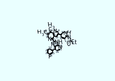 CCC(=O)Nc1ccc(-c2cnc3c(c2)C(c2nc4c(-c5cccc(F)c5)ccnc4[nH]2)=NC[C@@H](C)C3C)cn1